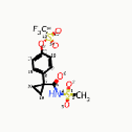 CS(=O)(=O)NC(=O)C1(c2ccc(OS(=O)(=O)C(F)(F)F)cc2)CC1